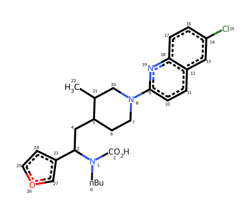 CCCCN(C(=O)O)C(CC1CCN(c2ccc3cc(Cl)ccc3n2)CC1C)c1ccoc1